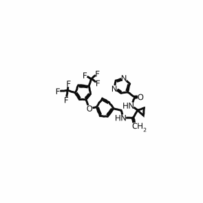 C=C(NCc1ccc(Oc2cc(C(F)(F)F)cc(C(F)(F)F)c2)cc1)C1(NC(=O)c2cncnc2)CC1